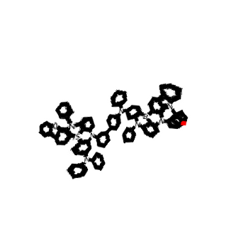 c1ccc(N(c2ccc(-c3cccc(N4c5cc(N(c6ccccc6)c6ccccc6)ccc5[SH]5c6ccc7c(oc8ccccc87)c6N(c6ccccc6)c6cccc4c65)c3)cc2)c2ccc3c(c2)N(c2ccccc2)c2cccc4c2B3c2ccc3c5ccccc5n(-c5ccccc5)c3c2N4c2ccccc2)cc1